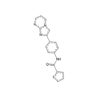 O=C(Nc1ccc(-c2cn3cccnc3n2)cc1)c1cccs1